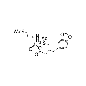 CSCC[C@H](N)C(=O)OC(=O)CC(CSC(C)=O)Cc1ccc2c(c1)OCO2